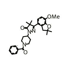 COc1ccc(C2=NN(C3CCN(C(=O)c4[c]cccc4)CC3)C(=O)C2(C)C)c2c1OC(C)(C)C2